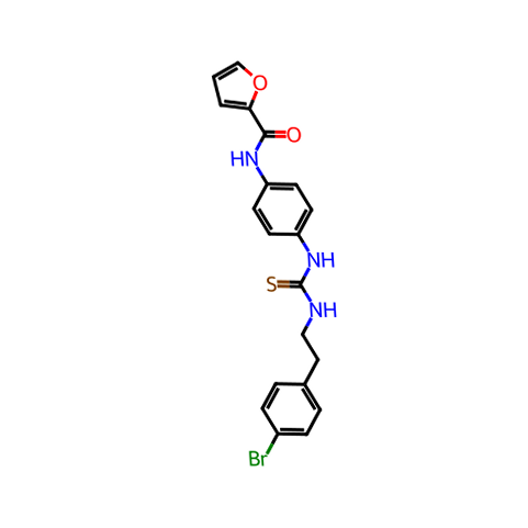 O=C(Nc1ccc(NC(=S)NCCc2ccc(Br)cc2)cc1)c1ccco1